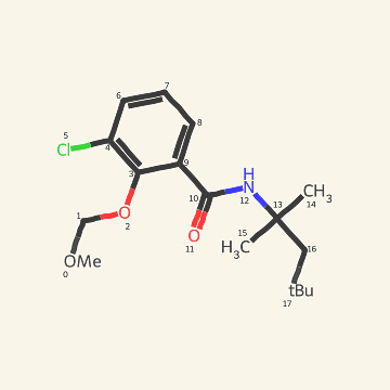 COCOc1c(Cl)cccc1C(=O)NC(C)(C)CC(C)(C)C